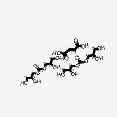 O=C(O)/C=C/C(=O)O.O=C(OCC(O)CO)OCC(O)CO.O=C(OCC(O)CO)OCC(O)CO